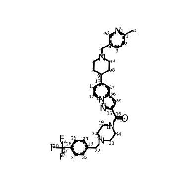 Cc1ccc(CN2CCC(c3ccn4nc(C(=O)N5CCN(Cc6ccc(C(F)(F)F)cc6)CC5)cc4c3)CC2)cn1